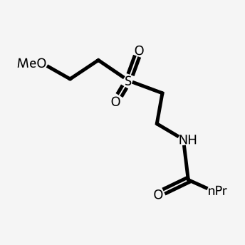 CCCC(=O)NCCS(=O)(=O)CCOC